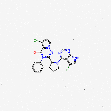 O=c1c2c(Cl)ccn2nc([C@@H]2CCCN2c2ncnc3[nH]cc(F)c23)n1-c1ccccc1